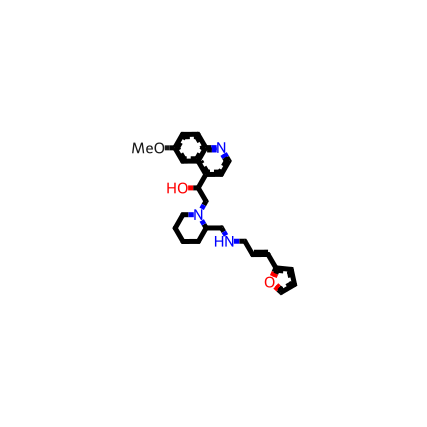 COc1ccc2nccc(C(O)CN3CCCCC3CNCC=Cc3ccco3)c2c1